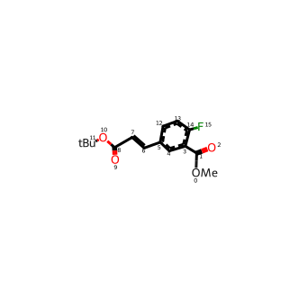 COC(=O)c1cc(/C=C/C(=O)OC(C)(C)C)ccc1F